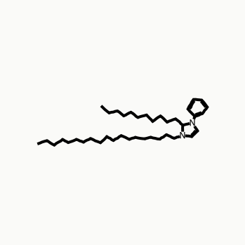 CCCCCCCCCCCCCCCCCCCN1C=CN(c2ccccc2)C1CCCCCCCCCCC